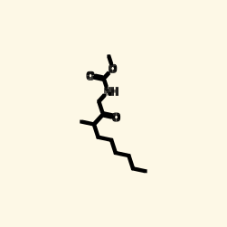 CCCCCCC(C)C(=O)CNC(=O)OC